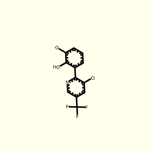 [O]c1cccc(-c2ncc(C(F)(F)F)cc2Cl)c1O